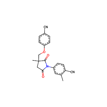 Cc1cc(N2C(=O)CC(C)(COc3ccc(C#N)cc3)C2=O)ccc1C#N